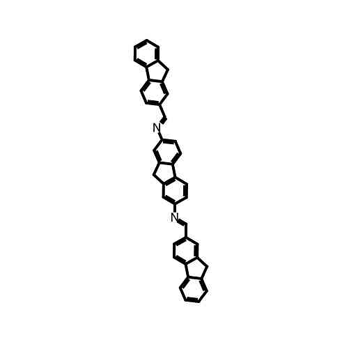 C(=N\c1ccc2c(c1)Cc1cc(/N=C/c3ccc4c(c3)Cc3ccccc3-4)ccc1-2)/c1ccc2c(c1)Cc1ccccc1-2